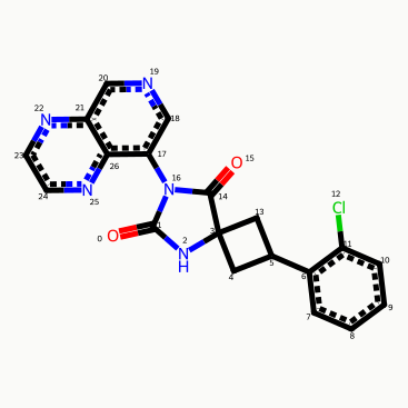 O=C1NC2(CC(c3ccccc3Cl)C2)C(=O)N1c1cncc2nccnc12